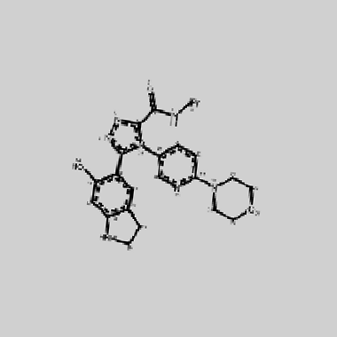 CC(C)NC(=O)c1nnc(-c2cc3c(cc2O)NCC3)n1-c1ccc(N2CCOCC2)nc1